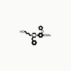 COc1ccc(N2CCN(CCCCO)C(Cc3ccccc3)C2)cc1OC1CCCC1